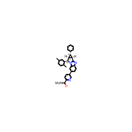 CNC(=O)c1ccc(-c2ccc3nc4n(c3c2)[C@@H](c2cc(C)ccc2C)[C@H]2[C@H](c3ccccc3)[C@@H]42)cn1